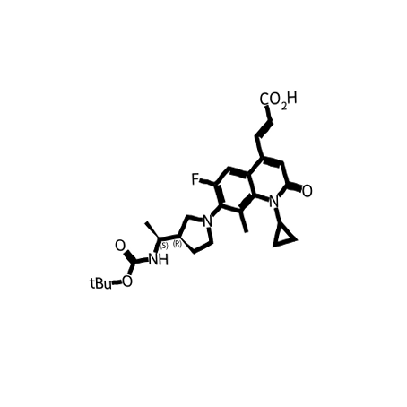 Cc1c(N2CC[C@@H]([C@H](C)NC(=O)OC(C)(C)C)C2)c(F)cc2c(C=CC(=O)O)cc(=O)n(C3CC3)c12